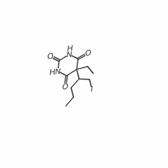 CCCC(CI)C1(CC)C(=O)NC(=O)NC1=O